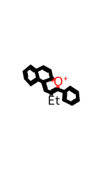 CCc1cc2c(ccc3ccccc32)[o+]c1-c1ccccc1